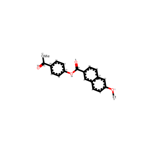 CCOc1ccc2cc(C(=O)Oc3ccc(C(=O)OC)cc3)ccc2c1